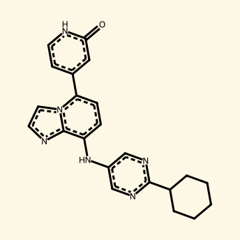 O=c1cc(-c2ccc(Nc3cnc(C4CCCCC4)nc3)c3nccn23)cc[nH]1